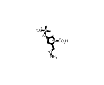 CC(C)(C)[Si](C)(C)OC1CC(CON)N(C(=O)O)C1